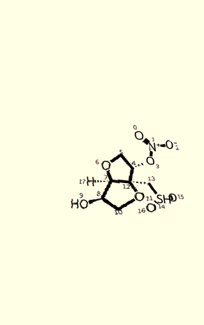 O=[N+]([O-])O[C@H]1CO[C@@H]2[C@H](O)CO[C@]12C[SH](=O)=O